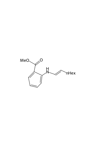 CCCCCCC=CNc1ccccc1C(=O)OC